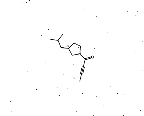 CC#CC(=O)N1CC[C@H](CC(C)C)C1